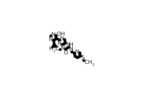 CCSc1ccc(CNc2nc3cnc(-c4c(O)ncnc4C4CC4)nc3n(CC)c2=O)nc1